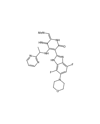 CN/C=C1/NC(=O)C(c2nc3c(F)cc(N4CCOCC4)c(F)c3[nH]2)=C(NC(C)c2ncccn2)C1=N